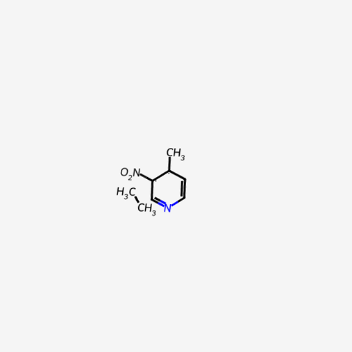 CC.C[C]1C=CN=C[C]1[N+](=O)[O-]